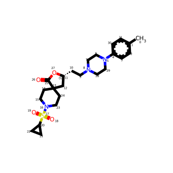 Cc1ccc(N2CCN(CC[C@@H]3CC4(CCN(S(=O)(=O)C5CC5)CC4)C(=O)O3)CC2)cc1